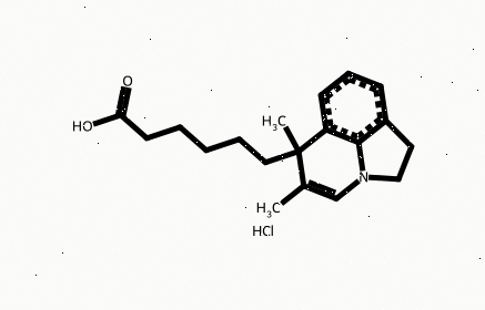 CC1=CN2CCc3cccc(c32)C1(C)CCCCCC(=O)O.Cl